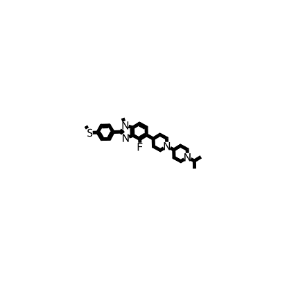 CSc1ccc(-c2nc3c(F)c(C4CCN(C5CCN(C(C)C)CC5)CC4)ccc3n2C)cc1